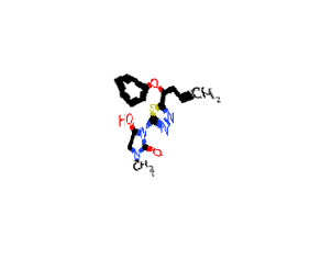 C=CCC(Oc1ccccc1)c1nnc(N2C(=O)N(C)CC2O)s1